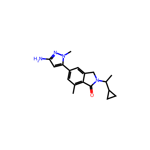 Cc1cc(-c2cc(N)nn2C)cc2c1C(=O)N(C(C)C1CC1)C2